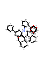 c1ccc(-c2cccc(N(c3ccccc3-c3ccccc3)c3c(-c4cccc5ccccc45)c4ccccc4c4ccccc34)c2)cc1